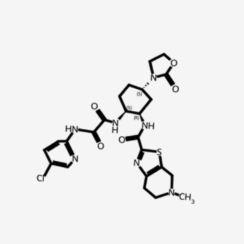 CN1CCc2nc(C(=O)N[C@@H]3C[C@@H](N4CCOC4=O)CC[C@@H]3NC(=O)C(=O)Nc3ccc(Cl)cn3)sc2C1